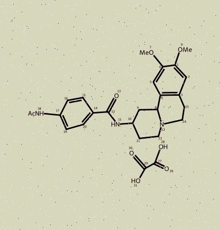 COc1cc2c(cc1OC)C1CC(NC(=O)c3ccc(NC(C)=O)cc3)CCN1CC2.O=C(O)C(=O)O